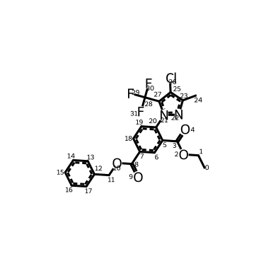 CCOC(=O)c1cc(C(=O)OCc2ccccc2)ccc1-n1nc(C)c(Cl)c1C(F)(F)F